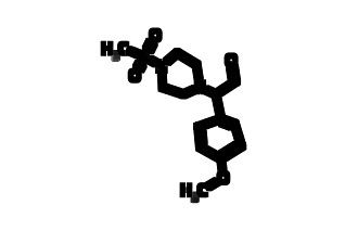 COc1ccc(C(C=O)N2CCN(S(C)(=O)=O)CC2)cc1